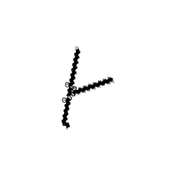 CC/C=C\CCCCCCCC(=O)OCC(COC(=O)CCCCCCCCCCCCCC)OC(=O)CCCCCCCCCCCCCCC